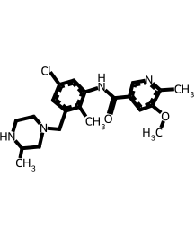 COc1cc(C(=O)Nc2cc(Cl)cc(CN3CCNC(C)C3)c2C)cnc1C